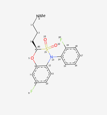 CNCCC[C@@H]1Oc2cc(F)ccc2N(c2ccccc2F)S1(=O)=O